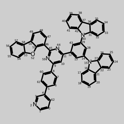 c1cncc(-c2ccc(-c3cc(-c4cc(-n5c6ccccc6c6ccccc65)cc(-n5c6ccccc6c6ccccc65)c4)nc(-c4cccc5c4oc4ccccc45)n3)cc2)c1